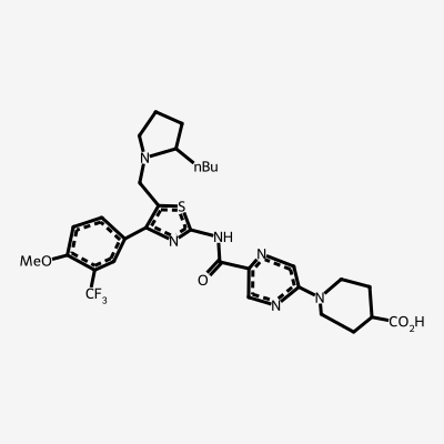 CCCCC1CCCN1Cc1sc(NC(=O)c2cnc(N3CCC(C(=O)O)CC3)cn2)nc1-c1ccc(OC)c(C(F)(F)F)c1